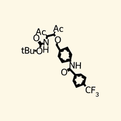 CC(=O)[C@@H](NC(=O)OC(C)(C)C)[C@H](OCc1ccc(NC(=O)c2ccc(C(F)(F)F)cc2)cc1)C(C)=O